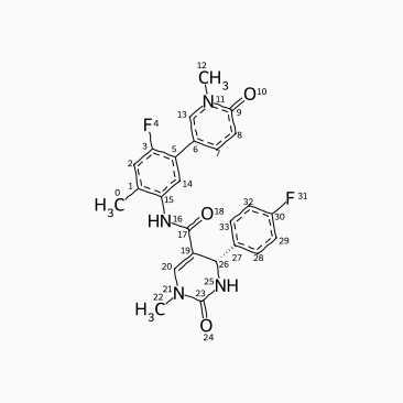 Cc1cc(F)c(-c2ccc(=O)n(C)c2)cc1NC(=O)C1=CN(C)C(=O)N[C@H]1c1ccc(F)cc1